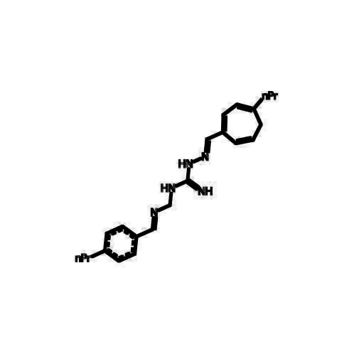 CCCC1=CC=C(/C=N/NC(=N)NC/N=C/c2ccc(CCC)cc2)C=CC1